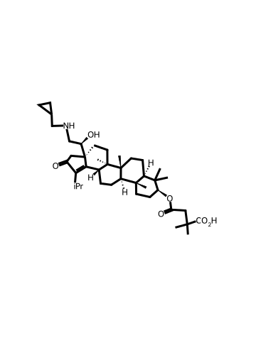 CC(C)C1=C2[C@H]3CC[C@@H]4[C@@]5(C)CC[C@H](OC(=O)CC(C)(C)C(=O)O)C(C)(C)[C@@H]5CC[C@@]4(C)[C@]3(C)CC[C@@]2([C@H](O)CNCC2CC2)CC1=O